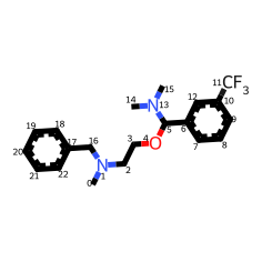 CN(CCOC(c1cccc(C(F)(F)F)c1)N(C)C)Cc1ccccc1